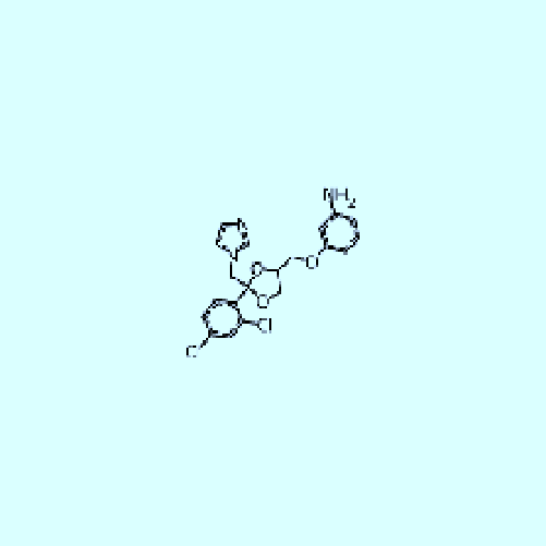 Nc1cccc(OCC2COC(Cn3ccnc3)(c3ccc(Cl)cc3Cl)O2)c1